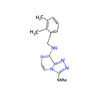 CNc1nnc2c(NCc3cccc(C)c3C)nccn12